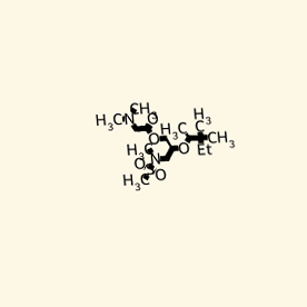 CCC(C)(C)[C@H](C)O[C@H](COC(=O)CN(C)C)CN(C)S(C)(=O)=O